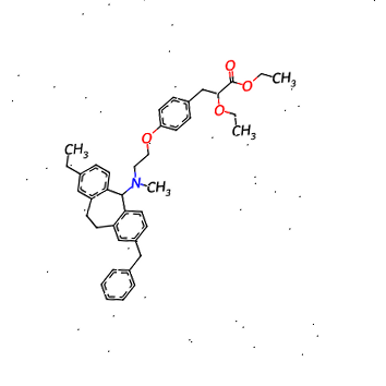 CCOC(=O)C(Cc1ccc(OCCN(C)C2c3ccc(CC)cc3CCc3cc(Cc4ccccc4)ccc32)cc1)OCC